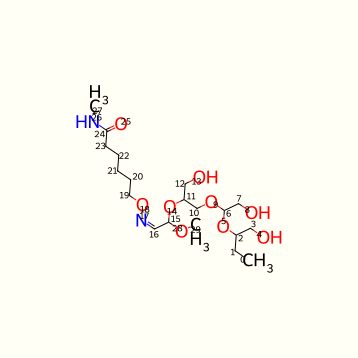 CCC(CO)OC(CO)OCC(CO)OC(/C=N\OCCCCCC(=O)NC)OC